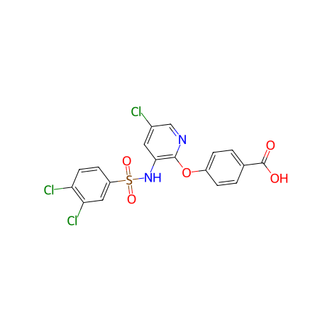 O=C(O)c1ccc(Oc2ncc(Cl)cc2NS(=O)(=O)c2ccc(Cl)c(Cl)c2)cc1